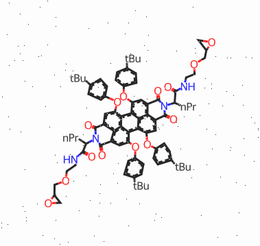 CCCC(C(=O)NCCOCC1CO1)N1C(=O)c2cc(Oc3ccc(C(C)(C)C)cc3)c3c4c(Oc5ccc(C(C)(C)C)cc5)cc5c6c(cc(Oc7ccc(C(C)(C)C)cc7)c(c7c(Oc8ccc(C(C)(C)C)cc8)cc(c2c37)C1=O)c64)C(=O)N(C(CCC)C(=O)NCCOCC1CO1)C5=O